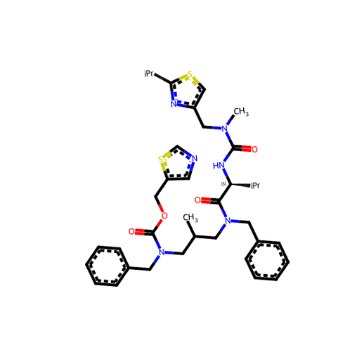 CC(CN(Cc1ccccc1)C(=O)OCc1cncs1)CN(Cc1ccccc1)C(=O)[C@@H](NC(=O)N(C)Cc1csc(C(C)C)n1)C(C)C